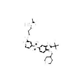 CC(=O)NCCCOc1cc(S(=O)(=O)c2ccc3c(c2)nc(C(C)(C)C)n3CC2CCOCC2)ccn1